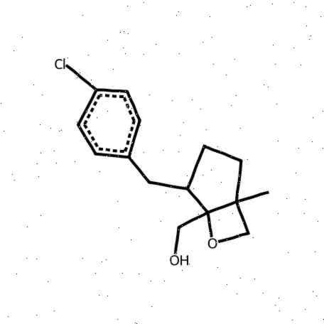 CC12CCC(Cc3ccc(Cl)cc3)C1(CO)OC2